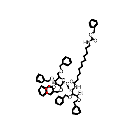 CC[C@@H](OCc1ccccc1)[C@@H](OCc1ccccc1)[C@H](CO[C@H]1OC(COCc2ccccc2)[C@H](OCc2ccccc2)[C@H](OCc2ccccc2)C1OCc1ccccc1)NC(=O)CCCCCCCCCCCNC(=O)OCc1ccccc1